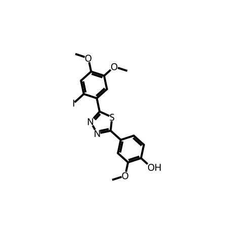 COc1cc(-c2nnc(-c3cc(OC)c(OC)cc3I)s2)ccc1O